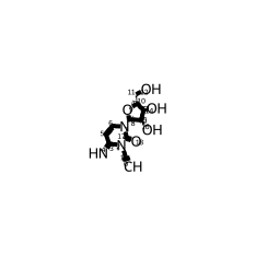 C#Cn1c(=N)ccn([C@@H]2O[C@H](CO)[C@@H](O)[C@H]2O)c1=O